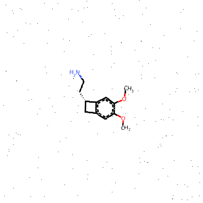 COc1cc2c(cc1OC)[C@@H](CCN)C2